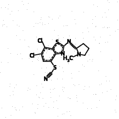 CN1CCCC1=Nc1nc2c(SC#N)cc(Cl)c(Cl)c2s1